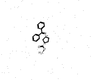 COC(=O)[C@H]1CC[C@@H](N=C(c2ccccc2)c2ccccc2)C1